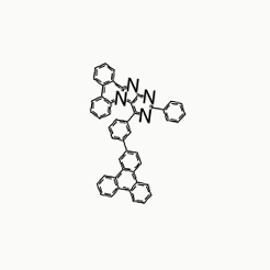 c1ccc(-c2nc(-c3cccc(-c4ccc5c6ccccc6c6ccccc6c5c4)c3)c3c(n2)nc2c4ccccc4c4ccccc4n23)cc1